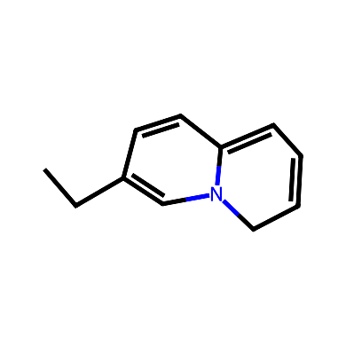 CCC1=CN2CC=CC=C2C=C1